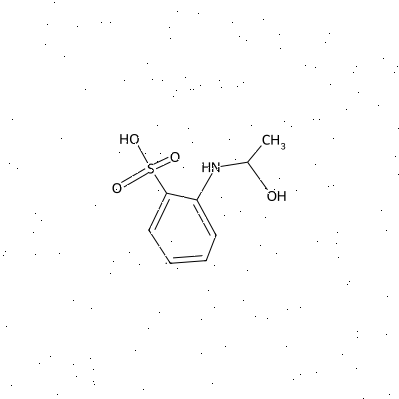 CC(O)Nc1cc[c]cc1S(=O)(=O)O